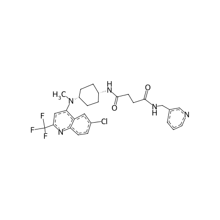 CN(c1cc(C(F)(F)F)nc2ccc(Cl)cc12)[C@H]1CC[C@@H](NC(=O)CCC(=O)NCc2cccnc2)CC1